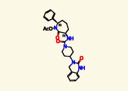 CC(=O)ON1C(=O)[C@H](NC(=O)N2CCC(N3Cc4ccccc4NC3=O)CC2)CCC[C@@H]1c1ccccc1